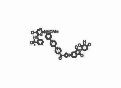 COc1cc(N2CCC(N3CCN(C(=O)C4CN(c5ccc6c(c5)C(=O)N(C5CCC(=O)NC5=O)C6=O)C4)CC3)CC2)ccc1Nc1ncc(Cl)c(Nc2ccccc2P(C)(C)=O)n1